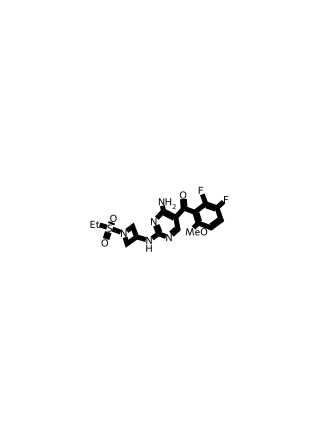 CCS(=O)(=O)N1CC(Nc2ncc(C(=O)c3c(OC)ccc(F)c3F)c(N)n2)C1